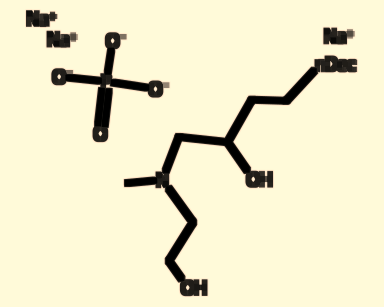 CCCCCCCCCCCCC(O)CN(C)CCO.O=P([O-])([O-])[O-].[Na+].[Na+].[Na+]